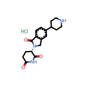 Cl.O=C1CC[C@H](N2Cc3cc(C4CCNCC4)ccc3C2=O)C(=O)N1